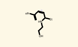 C=C(/C=C\C(CC)NCCO)CCC